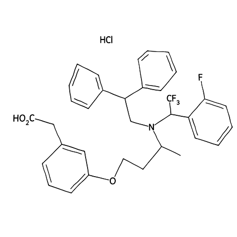 CC(CCOc1cccc(CC(=O)O)c1)N(CC(c1ccccc1)c1ccccc1)C(c1ccccc1F)C(F)(F)F.Cl